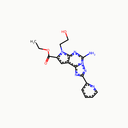 CCOC(=O)c1cc2c(nc(N)n3nc(-c4ccccn4)nc23)n1CCO